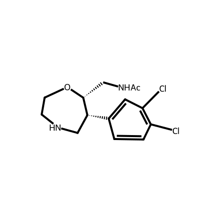 CC(=O)NC[C@H]1OCCNC[C@H]1c1ccc(Cl)c(Cl)c1